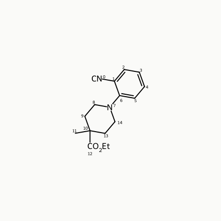 [C-]#[N+]c1ccccc1N1CCC(C)(C(=O)OCC)CC1